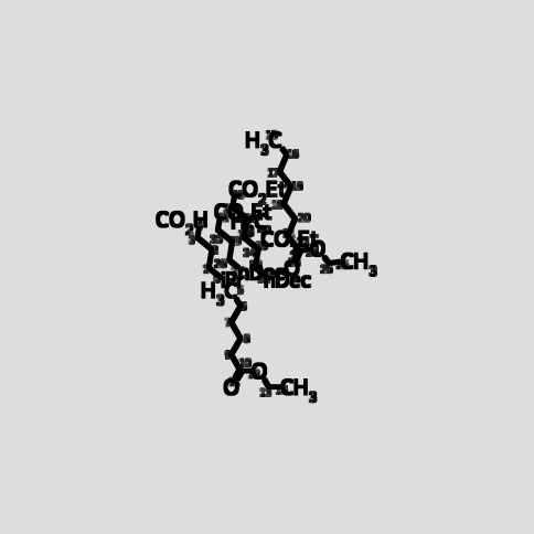 CC(C)CCCC(=O)O.CCCCCC(=O)OCC.CCCCCCCC(=O)OCC.CCCCCCCCCCCCCC(=O)OCC.CCCCCCCCCCCCCCCC(=O)OCC.CCOC(C)=O